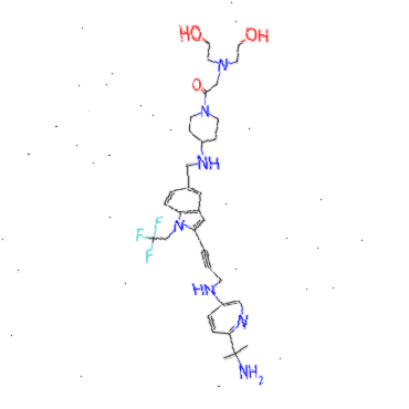 CC(C)(N)c1ccc(NCC#Cc2cc3cc(CNC4CCN(C(=O)CN(CCO)CCO)CC4)ccc3n2CC(F)(F)F)cn1